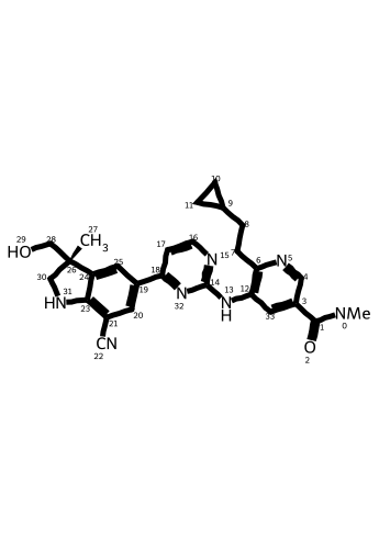 CNC(=O)c1cnc(CCC2CC2)c(Nc2nccc(-c3cc(C#N)c4c(c3)[C@@](C)(CO)CN4)n2)c1